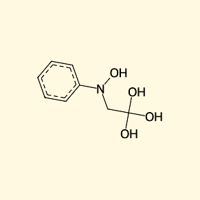 ON(CC(O)(O)O)c1ccccc1